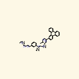 C=N/C(=C\C=N/C/C=C(\C=C/C(=C)C)c1ccc2c3ccccc3c3ccccc3c2c1)c1cccc(/C=C/C=C\N=C/C)c1